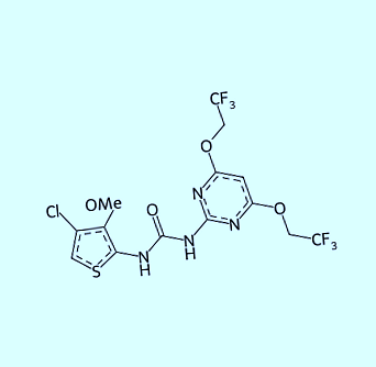 COc1c(Cl)csc1NC(=O)Nc1nc(OCC(F)(F)F)cc(OCC(F)(F)F)n1